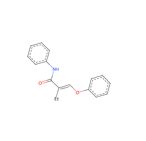 CC/C(=C\Oc1ccccc1)C(=O)Nc1ccccc1